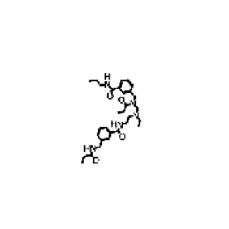 CCCNC(=O)c1cccc(CN(CN(CC)CCNC(=O)c2cccc(CNC(=O)CC)c2)C(=O)CC)c1